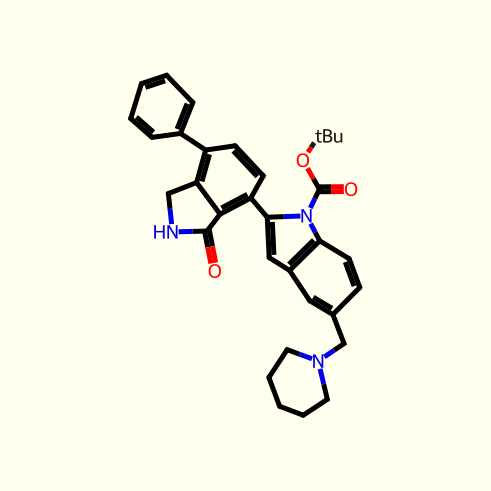 CC(C)(C)OC(=O)n1c(-c2ccc(-c3ccccc3)c3c2C(=O)NC3)cc2cc(CN3CCCCC3)ccc21